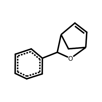 C1=CC2CC1OC2c1ccccc1